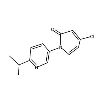 CC(C)c1ccc(-n2ccc(Cl)cc2=O)cn1